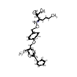 CCCC/C(=N\OCc1ccc(OCc2nc(-c3ccccc3)oc2C)cc1)C(=O)O